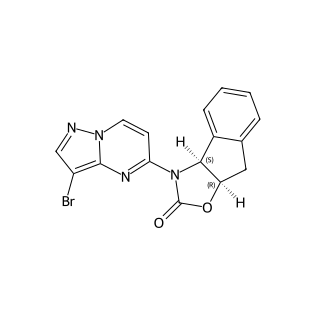 O=C1O[C@@H]2Cc3ccccc3[C@@H]2N1c1ccn2ncc(Br)c2n1